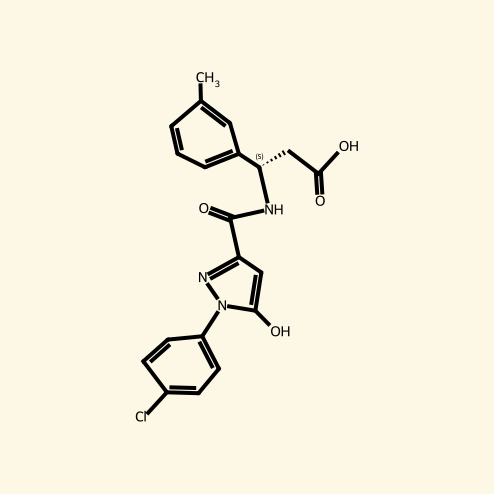 Cc1cccc([C@H](CC(=O)O)NC(=O)c2cc(O)n(-c3ccc(Cl)cc3)n2)c1